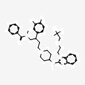 CN(CC(CCN1CCC(Nc2nc3ccccc3n2CCOCC(F)(F)F)CC1)c1ccc(F)c(F)c1)C(=O)c1ccccc1